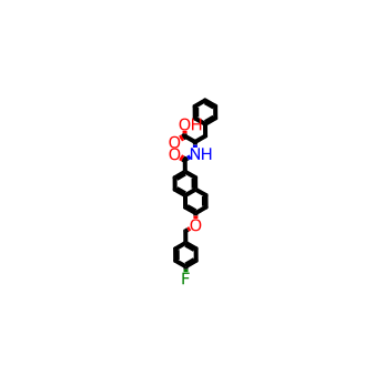 O=C(NC(Cc1ccccc1)C(=O)O)c1ccc2cc(OCc3ccc(F)cc3)ccc2c1